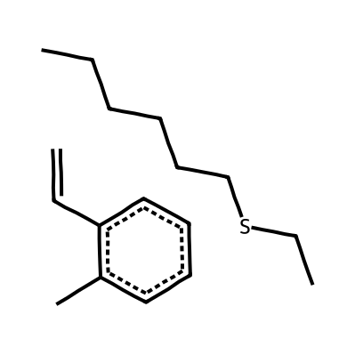 C=Cc1ccccc1C.CCCCCCSCC